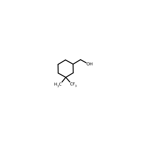 CC1(C(F)(F)F)CCCC(CO)C1